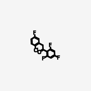 O=C(Cc1cc(F)ccc1Cl)c1c(F)cc(F)cc1F